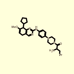 COC1=CCc2cnc(Nc3ccc(N4CCN(C(=O)C(N)CC(C)C)CC4)cc3)nc2C1C1CCCC1